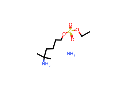 CCOS(=O)(=O)OCCCCC(C)(C)N.N